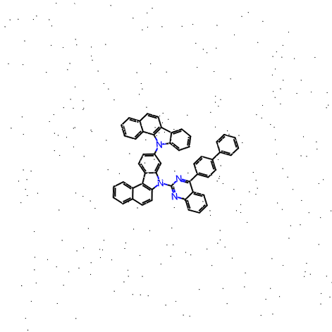 c1ccc(-c2ccc(-c3nc(-n4c5cc(-n6c7ccccc7c7ccc8ccccc8c76)ccc5c5c6ccccc6ccc54)nc4ccccc34)cc2)cc1